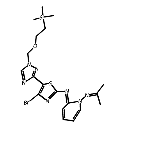 CC(C)=Nn1cccc/c1=N\c1nc(Br)c(-c2ncn(COCC[Si](C)(C)C)n2)s1